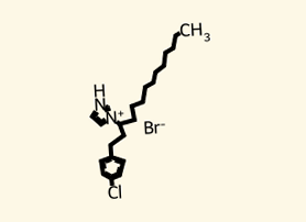 CCCCCCCCCCCC(CCc1ccc(Cl)cc1)[n+]1cc[nH]c1.[Br-]